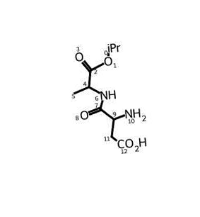 CC(C)OC(=O)C(C)NC(=O)C(N)CC(=O)O